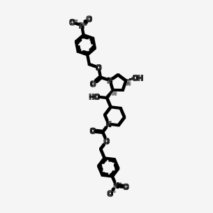 O=C(OCc1ccc([N+](=O)[O-])cc1)N1CCCC(C(O)[C@@H]2C[C@@H](O)CN2C(=O)OCc2ccc([N+](=O)[O-])cc2)C1